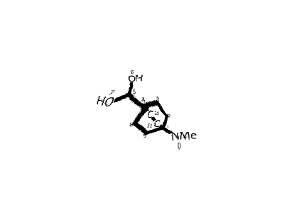 CNC12CCC(C(O)O)(CC1)CC2